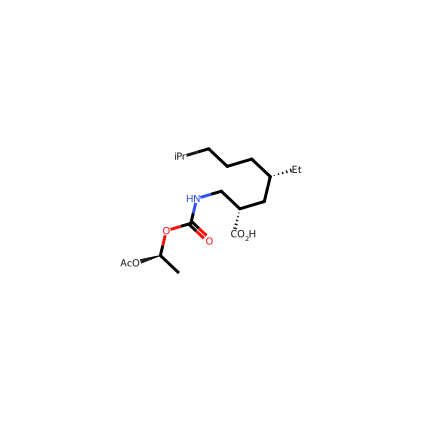 CC[C@@H](CCCC(C)C)C[C@@H](CNC(=O)O[C@@H](C)OC(C)=O)C(=O)O